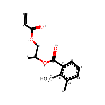 C=CC(=O)OCC(C)OC(=O)c1cccc(C)c1C(=O)O